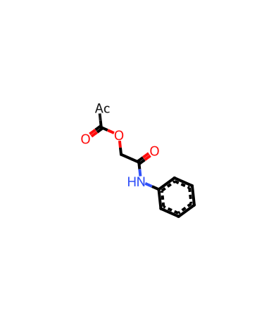 CC(=O)C(=O)OCC(=O)Nc1ccccc1